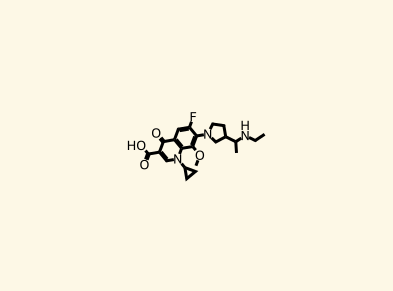 CCNC(C)C1CCN(c2c(F)cc3c(=O)c(C(=O)O)cn(C4CC4)c3c2OC)C1